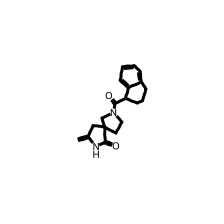 C=C1CC2(CCN(C(=O)C3CCCc4ccccc43)C2)C(=O)N1